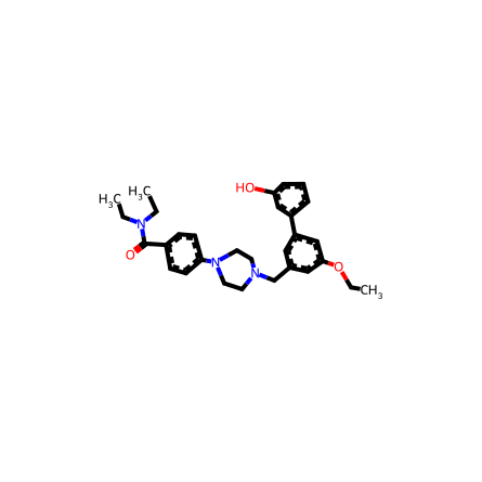 CCOc1cc(CN2CCN(c3ccc(C(=O)N(CC)CC)cc3)CC2)cc(-c2cccc(O)c2)c1